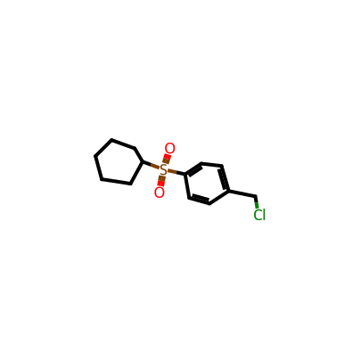 O=S(=O)(c1ccc(CCl)cc1)C1CCCCC1